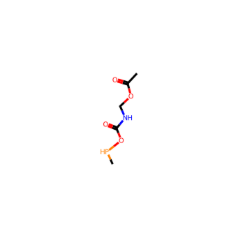 CPOC(=O)NCOC(C)=O